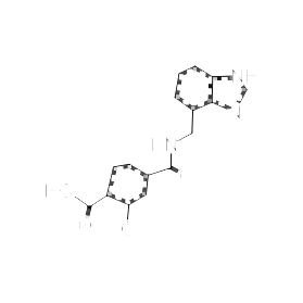 O=C(NCc1cccc2[nH]cnc12)c1ccc(C(=O)O)c(Cl)c1